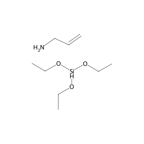 C=CCN.CCO[SiH](OCC)OCC